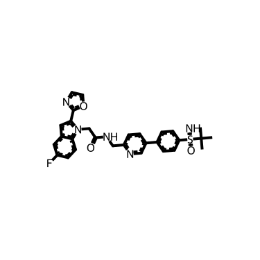 CC(C)(C)S(=N)(=O)c1ccc(-c2ccc(CNC(=O)Cn3c(-c4ncco4)cc4cc(F)ccc43)nc2)cc1